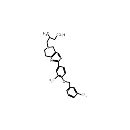 Cc1cc(-c2ncc3c(n2)CCN(CC(C)CC(=O)O)C3)ccc1OCc1cccc(C(F)(F)F)c1